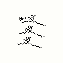 CCCCCCCCC(CCC)(CCCCCC)C(=O)[O-].CCCCCCCCC(CCC)(CCCCCC)C(=O)[O-].CCCCCCCCC(CCC)(CCCCCC)C(=O)[O-].[Nd+3]